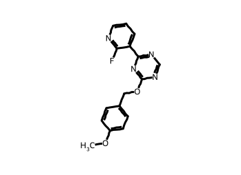 COc1ccc(COc2ncnc(-c3cccnc3F)n2)cc1